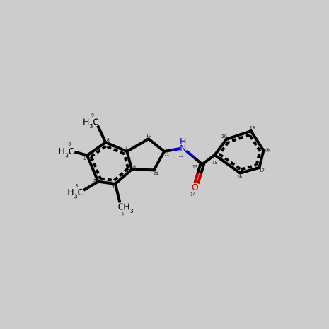 Cc1c(C)c(C)c2c(c1C)CC(NC(=O)c1ccccc1)C2